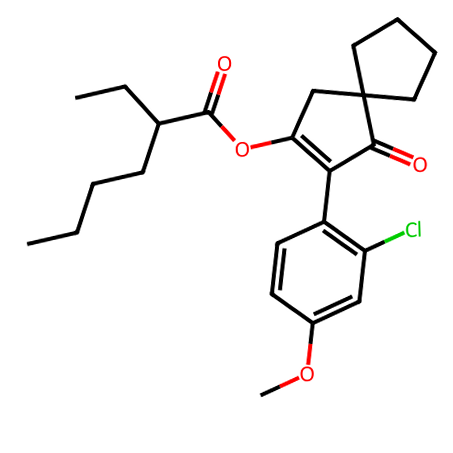 CCCCC(CC)C(=O)OC1=C(c2ccc(OC)cc2Cl)C(=O)C2(CCCC2)C1